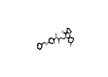 O=C(CCn1c(=O)c2cccn2c2ccc(F)cc21)Nc1ccc(OCc2ccccc2)cn1